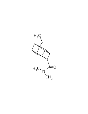 CCC12C3C4C1C1C2C3C41C(=O)N(C)C